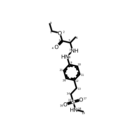 CCOC(=O)C(C)NNc1ccc(CCS(=O)(=O)NC)cc1